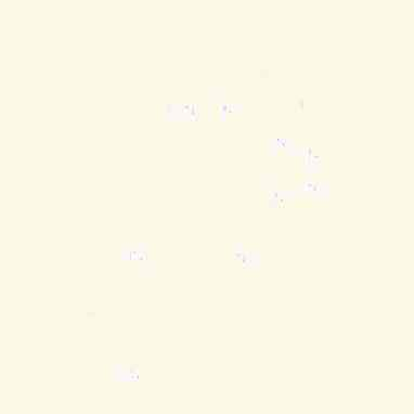 NCC(O)CNS(=O)(=O)c1ccc(N2C[C@H]3CC[C@@H](C2)C3CN)c(-c2nn[nH]n2)c1S(N)(=O)=O